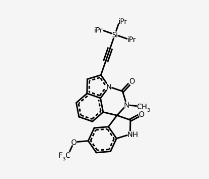 CC(C)[Si](C#Cc1cc2cccc3c2n1C(=O)N(C)C31C(=O)Nc2ccc(OC(F)(F)F)cc21)(C(C)C)C(C)C